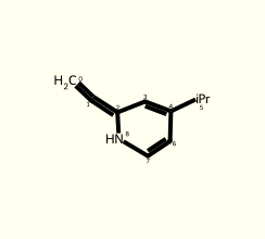 C=C=C1C=C(C(C)C)C=CN1